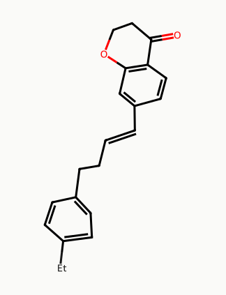 CCc1ccc(CCC=Cc2ccc3c(c2)OCCC3=O)cc1